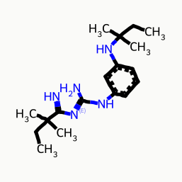 CCC(C)(C)Nc1cccc(N/C(N)=N/C(=N)C(C)(C)CC)c1